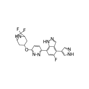 Fc1cc(-c2ccc(OC3CC4CC(F)(F)C(C3)N4)nn2)c2[nH]ncc2c1-c1cn[nH]c1